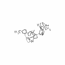 Cc1ccc(C)c(C2CCC3N=c4ccc(-c5cnc(C(C)(C)O)nc5)cc4=CN32)c1